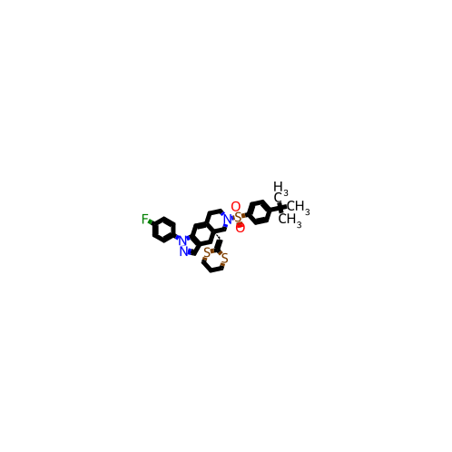 CC(C)(C)c1ccc(S(=O)(=O)N2CCC3=Cc4c(cnn4-c4ccc(F)cc4)C[C@]3(C=C3SCCCS3)C2)cc1